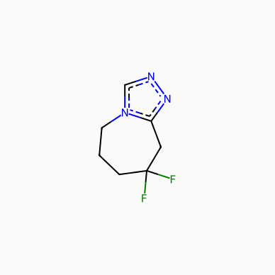 FC1(F)CCCn2cnnc2C1